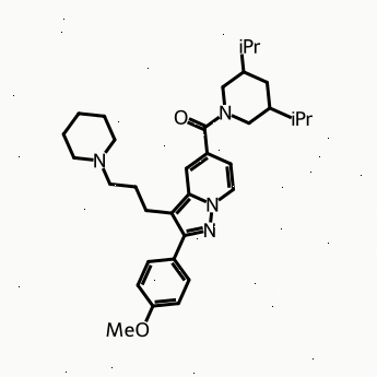 COc1ccc(-c2nn3ccc(C(=O)N4CC(C(C)C)CC(C(C)C)C4)cc3c2CCCN2CCCCC2)cc1